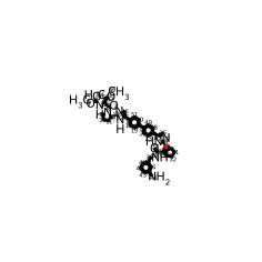 COC(=O)N[C@H](C(=O)N1CCC[C@H]1c1ncc(-c2ccc(-c3ccc(-c4cnc([C@H]5C6CCC(C6)[C@@H]5C(=O)NCc5cccc(N)c5)[nH]4)cc3)cc2)[nH]1)[C@@H](C)OC